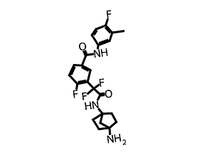 Cc1cc(NC(=O)c2ccc(F)c(C(F)(F)C(=O)NC34CCC(N)(CC3)C4)c2)ccc1F